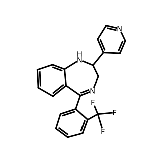 FC(F)(F)c1ccccc1C1=NCC(c2ccncc2)Nc2ccccc21